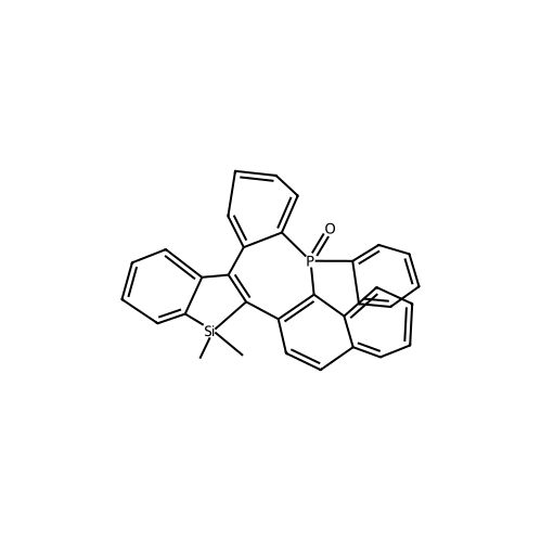 C[Si]1(C)C2=C(c3ccccc31)c1ccccc1P(=O)(c1ccccc1)c1c2ccc2ccccc12